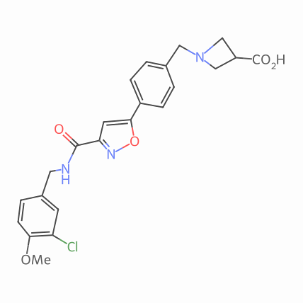 COc1ccc(CNC(=O)c2cc(-c3ccc(CN4CC(C(=O)O)C4)cc3)on2)cc1Cl